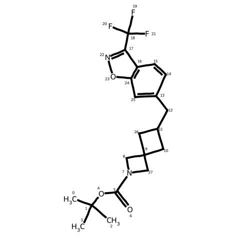 CC(C)(C)OC(=O)N1CC2(CC(Cc3ccc4c(C(F)(F)F)noc4c3)C2)C1